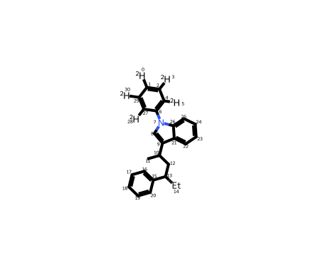 [2H]c1c([2H])c([2H])c(-n2cc(C(C)CC(CC)c3ccccc3)c3ccccc32)c([2H])c1[2H]